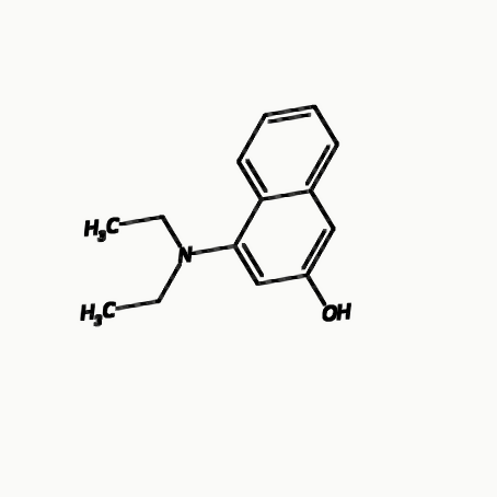 CCN(CC)c1cc(O)cc2ccccc12